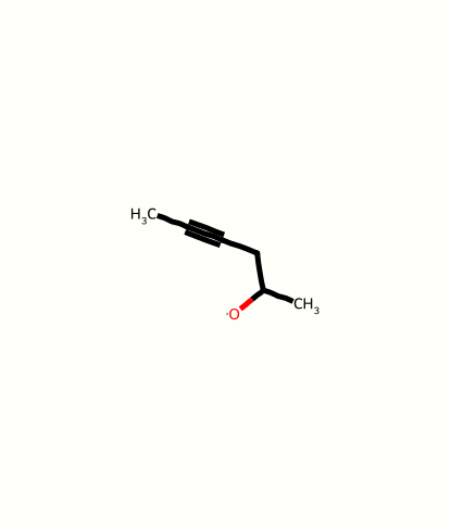 CC#CCC(C)[O]